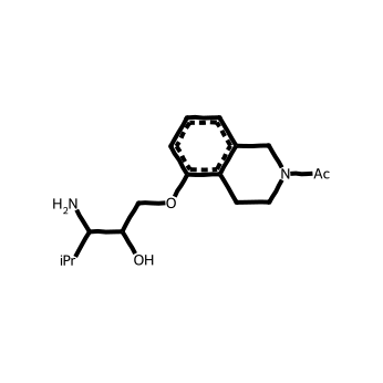 CC(=O)N1CCc2c(cccc2OCC(O)C(N)C(C)C)C1